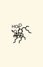 C=COC(=O)C1(CC(CC)CCCC)C=C(C(=O)O)C(CC(CC)CCCC)=CC1(CC(CC)CCCC)C(=O)O